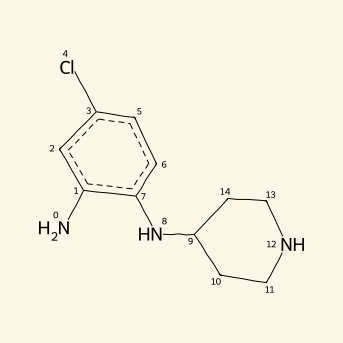 Nc1cc(Cl)ccc1NC1CCNCC1